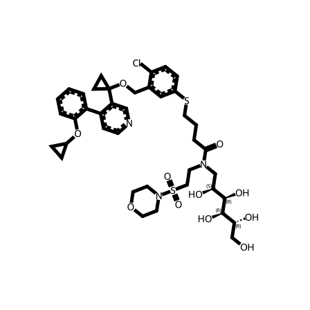 O=C(CCCSc1ccc(Cl)c(COC2(c3cnccc3-c3ccccc3OC3CC3)CC2)c1)N(CCS(=O)(=O)N1CCOCC1)C[C@H](O)[C@@H](O)[C@H](O)[C@H](O)CO